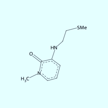 CSCCNc1cccn(C)c1=O